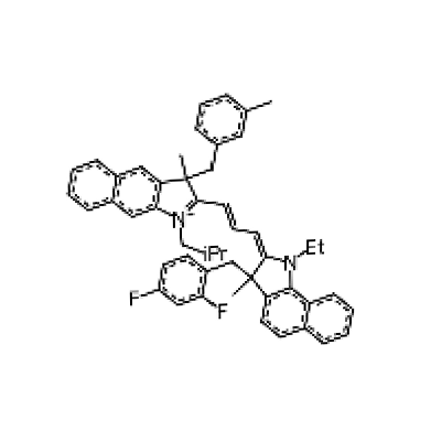 CCN1/C(=C/C=C/C2=[N+](CC(C)C)c3cc4ccccc4cc3C2(C)Cc2cccc(C)c2)C(C)(Cc2ccc(F)cc2F)c2ccc3ccccc3c21